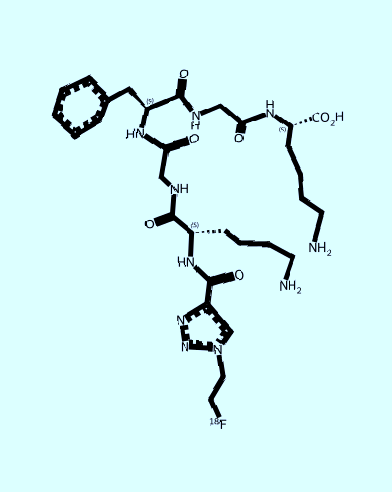 NCCCC[C@H](NC(=O)CNC(=O)[C@H](Cc1ccccc1)NC(=O)CNC(=O)[C@H](CCCCN)NC(=O)c1cn(CC[18F])nn1)C(=O)O